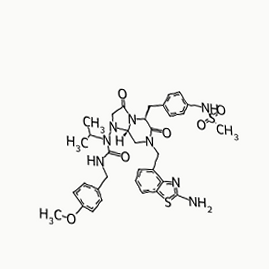 COc1ccc(CNC(=O)N(C(C)C)N2CC(=O)N3[C@@H](Cc4ccc(NS(C)(=O)=O)cc4)C(=O)N(Cc4cccc5sc(N)nc45)C[C@@H]32)cc1